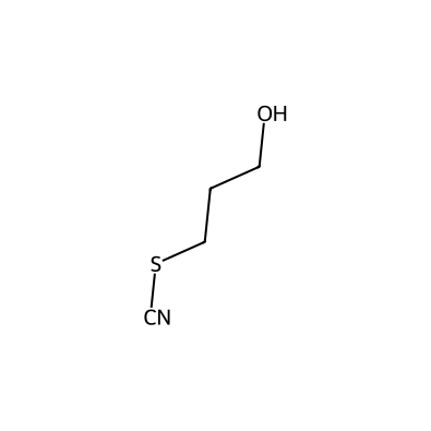 N#CSCCCO